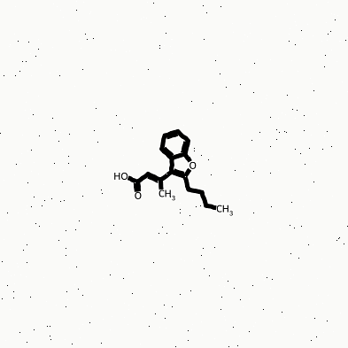 CCCCc1oc2ccccc2c1C(C)=CC(=O)O